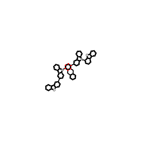 c1ccc2c(c1)C1c3ccccc3C2c2c(-n3c4ccccc4c4cc(-c5ccc6oc7ccccc7c6c5)ccc43)ccc(-c3ccc4c(c3)c3ccccc3n4-c3cccc4c3oc3ccccc34)c21